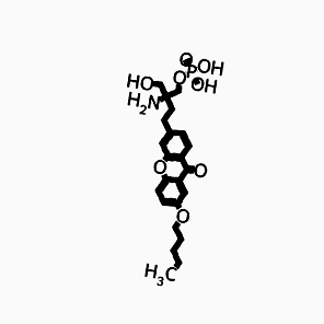 CCCCCOc1ccc2oc3cc(CCC(N)(CO)COP(=O)(O)O)ccc3c(=O)c2c1